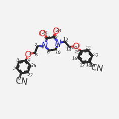 N#Cc1ccc(OCCN2CCN(CCOc3ccc(C#N)cc3)C(=O)C2=O)cc1